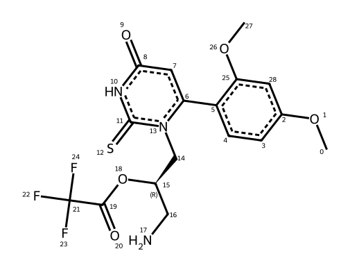 COc1ccc(-c2cc(=O)[nH]c(=S)n2C[C@@H](CN)OC(=O)C(F)(F)F)c(OC)c1